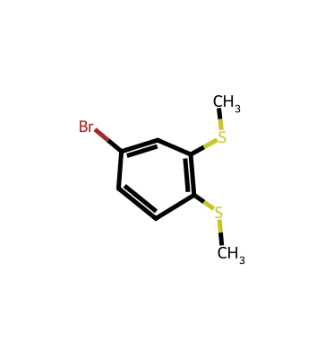 CSc1ccc(Br)cc1SC